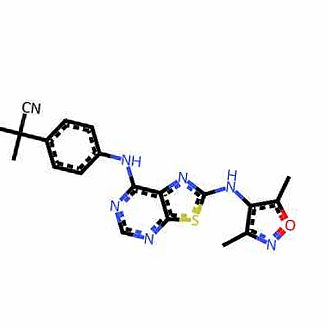 Cc1noc(C)c1Nc1nc2c(Nc3ccc(C(C)(C)C#N)cc3)ncnc2s1